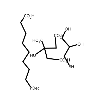 CCCCCCCCCCCCCCCCCC(=O)O.O=C(O)CC(O)(CC(=O)O)C(=O)O.OCC(O)CS